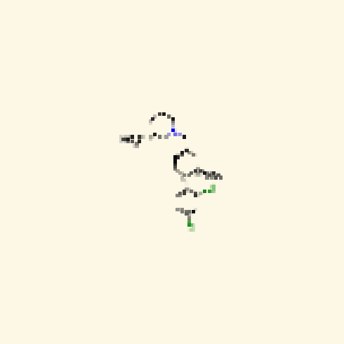 O=C(O)[C@@H]1CCCN(CC2=CC[C@@H](c3ccc(Cl)cc3Cl)[C@H]([N+](=O)[O-])C2)C1